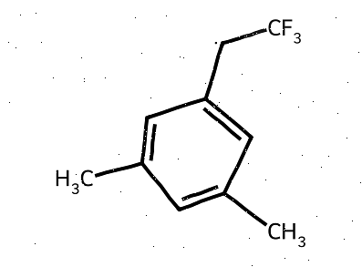 Cc1cc(C)cc([CH]C(F)(F)F)c1